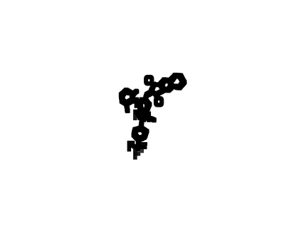 Cc1cccc(C)c1-n1c(C=C2C(=O)c3cc4ccccc4cc3C2=O)cc2c1nc(-c1ccc(C(F)(F)F)cc1)n2C